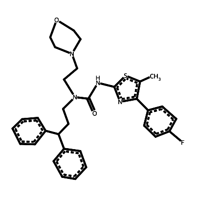 Cc1sc(NC(=O)N(CCC(c2ccccc2)c2ccccc2)CCN2CCOCC2)nc1-c1ccc(F)cc1